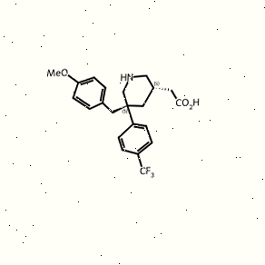 COc1ccc(C[C@@]2(c3ccc(C(F)(F)F)cc3)CNC[C@H](CC(=O)O)C2)cc1